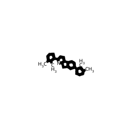 Cc1cccc(-c2ccc3c(c2)Cc2nc(-c4cccc(C)c4C)ccc2-3)c1C